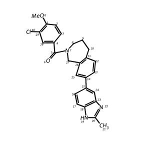 COc1ccc(C(=O)N2CCCc3ccc(-c4ccc5[nH]c(C)nc5c4)cc3C2)cc1Cl